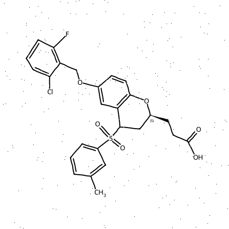 Cc1cccc(S(=O)(=O)C2C[C@H](CCC(=O)O)Oc3ccc(OCc4c(F)cccc4Cl)cc32)c1